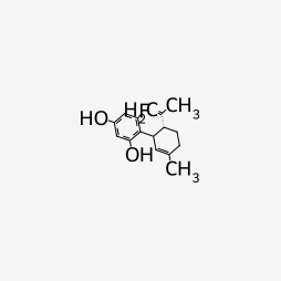 C=C(C)[C@@H]1CCC(C)=CC1c1c(O)cc(O)cc1F